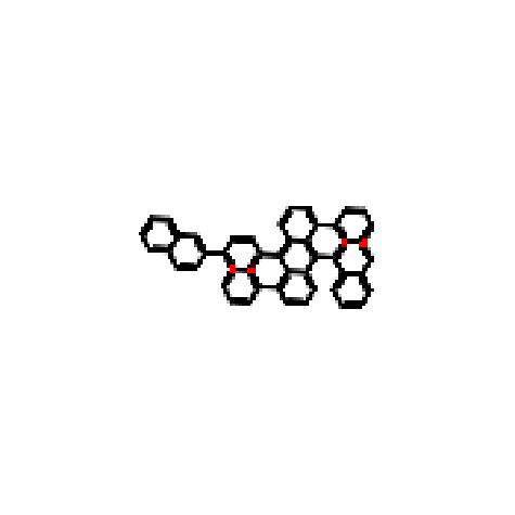 c1ccc(-c2cccc3c(-c4cccc5ccccc45)c4c(-c5ccccc5)cccc4c(-c4ccc(-c5ccc6ccccc6c5)cc4)c23)cc1